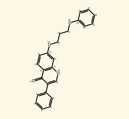 O=c1c(-c2ccccc2)coc2cc(OCCCOc3ccccc3)ccc12